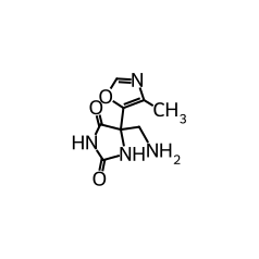 Cc1ncoc1C1(CN)NC(=O)NC1=O